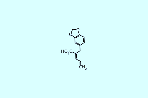 C=C/C=C(\Cc1ccc2c(c1)OCO2)C(=O)O